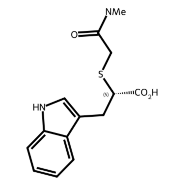 CNC(=O)CS[C@@H](Cc1c[nH]c2ccccc12)C(=O)O